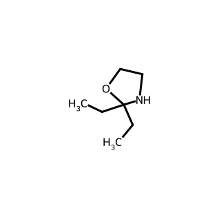 CCC1(CC)NCCO1